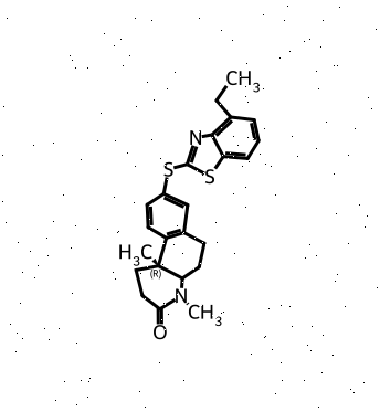 CCc1cccc2sc(Sc3ccc4c(c3)CCC3N(C)C(=O)CC[C@]43C)nc12